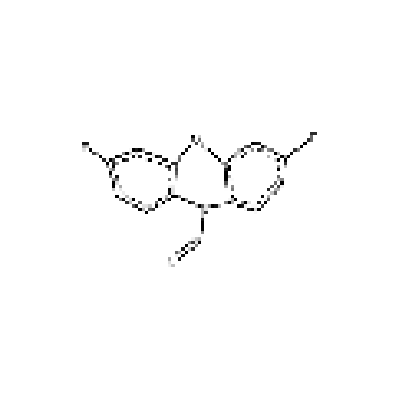 O=CN1c2ccc(F)cc2Oc2cc(F)ccc21